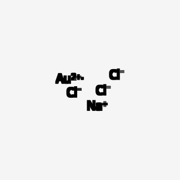 [Au+2].[Cl-].[Cl-].[Cl-].[Na+]